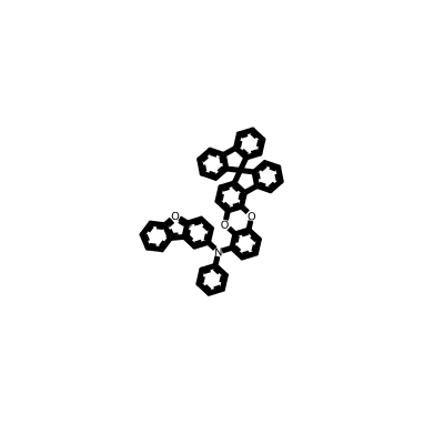 c1ccc(N(c2ccc3oc4ccccc4c3c2)c2cccc3c2Oc2ccc4c(c2O3)-c2ccccc2C42c3ccccc3-c3ccccc32)cc1